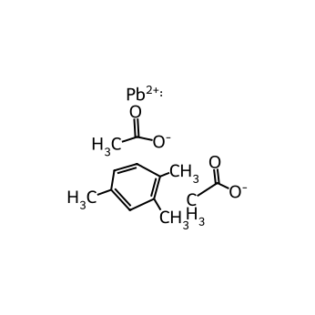 CC(=O)[O-].CC(=O)[O-].Cc1ccc(C)c(C)c1.[Pb+2]